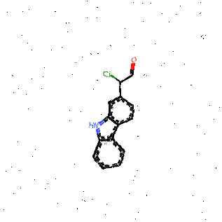 O=CC(Cl)c1ccc2c(c1)[nH]c1ccccc12